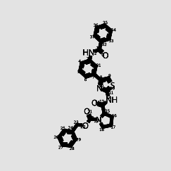 O=C(Nc1cccc(-c2csc(NC(=O)C3CCCN3C(=O)OCc3ccccc3)n2)c1)c1ccccc1